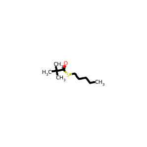 CCCC[CH]SC(=O)C(C)(C)C